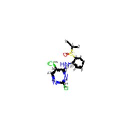 CC(C)[S+]([O-])c1ccccc1Nc1nc(Cl)ncc1Cl